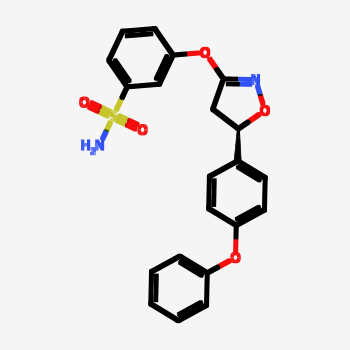 NS(=O)(=O)c1cccc(OC2=NO[C@@H](c3ccc(Oc4ccccc4)cc3)C2)c1